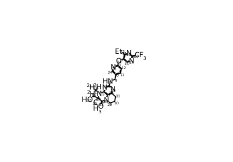 [2H]C([2H])([2H])N1c2nc(NCc3ccc(Oc4cnc(C(F)(F)F)nc4CC)nc3)nc3c2N(CCC3)C(=O)[C@]1(C)CO